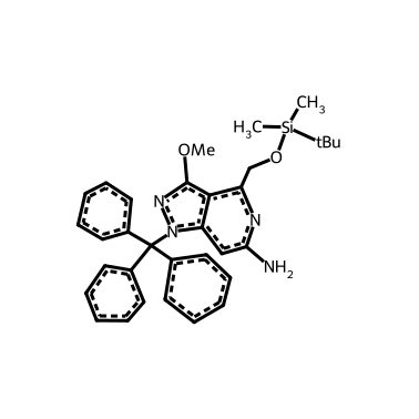 COc1nn(C(c2ccccc2)(c2ccccc2)c2ccccc2)c2cc(N)nc(CO[Si](C)(C)C(C)(C)C)c12